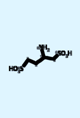 NC(CCS(=O)(=O)O)CS(=O)(=O)O